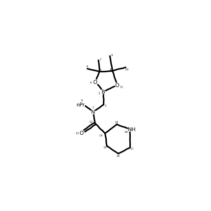 CCCN(CB1OC(C)(C)C(C)(C)O1)C(=O)C1CCCNC1